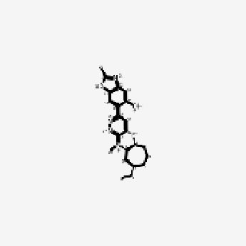 CC[C@@H]1CCC[C@H](F)[C@H](N(C)c2ccc(-c3cc4sc(C)nc4cc3O)nn2)C1